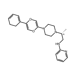 C[C@H](CNc1ccccn1)N1CCN(C2=COC(C3=CC=CCC3)=CO2)CC1